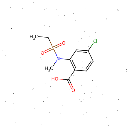 CCS(=O)(=O)N(C)c1cc(Cl)ccc1C(=O)O